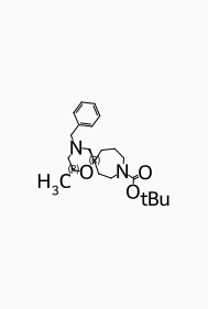 C[C@@H]1CN(Cc2ccccc2)C[C@]2(CCCN(C(=O)OC(C)(C)C)CC2)O1